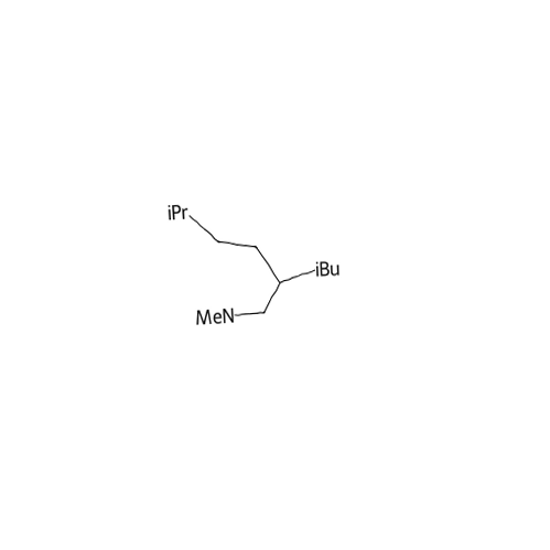 CCC(C)C(CCC(C)C)CNC